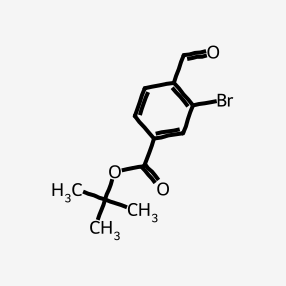 CC(C)(C)OC(=O)c1ccc(C=O)c(Br)c1